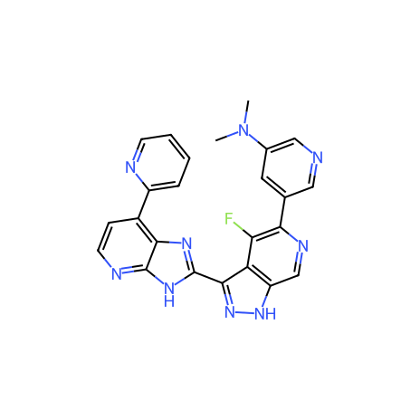 CN(C)c1cncc(-c2ncc3[nH]nc(-c4nc5c(-c6ccccn6)ccnc5[nH]4)c3c2F)c1